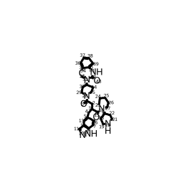 O=C(CC(Cc1ccc2[nH]ncc2c1)C(=O)[N+]1(C2CCNCC2)CCCCC1)N1CCC(N2CCc3ccccc3NC2=O)CC1